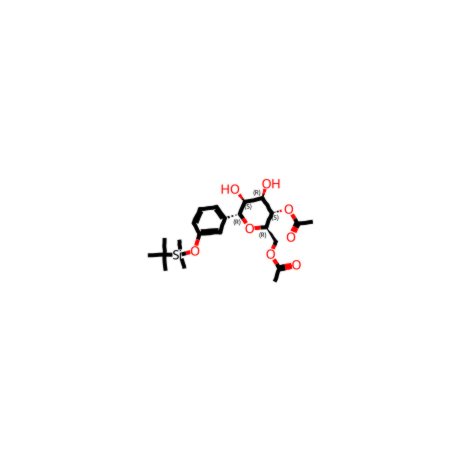 CC(=O)OC[C@H]1O[C@H](c2cccc(O[Si](C)(C)C(C)(C)C)c2)[C@@H](O)[C@@H](O)[C@@H]1OC(C)=O